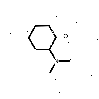 CN(C)C1CCCCC1.[O]